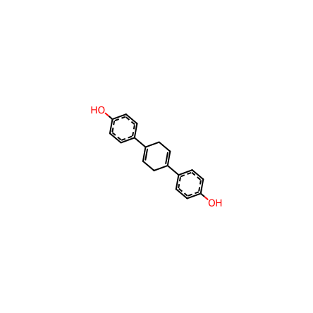 Oc1ccc(C2=CCC(c3ccc(O)cc3)=CC2)cc1